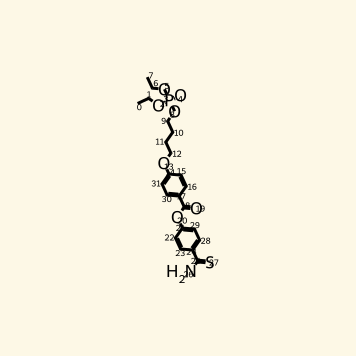 CCOP(=O)(OCC)OCCCCOc1ccc(C(=O)Oc2ccc(C(N)=S)cc2)cc1